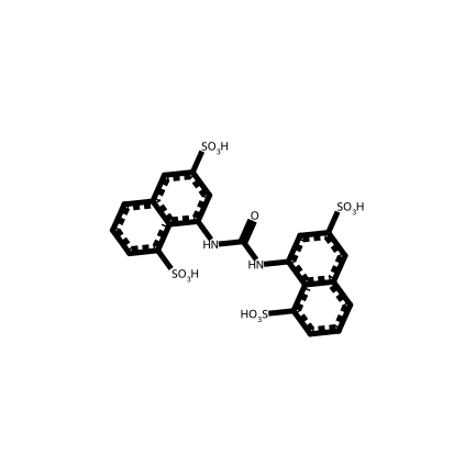 O=C(Nc1cc(S(=O)(=O)O)cc2cccc(S(=O)(=O)O)c12)Nc1cc(S(=O)(=O)O)cc2cccc(S(=O)(=O)O)c12